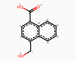 O=C(O)c1ccc(CO)c2ccccc12